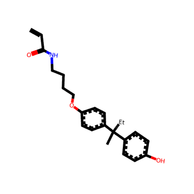 C=CC(=O)NCCCCOc1ccc(C(C)(CC)c2ccc(O)cc2)cc1